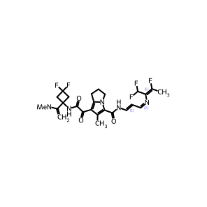 C=C(NC)C1(NC(=O)C(=O)c2c(C)c(C(=O)N/C=C/C=N\C(=C(/C)F)C(F)F)n3c2CCC3)CC(F)(F)C1